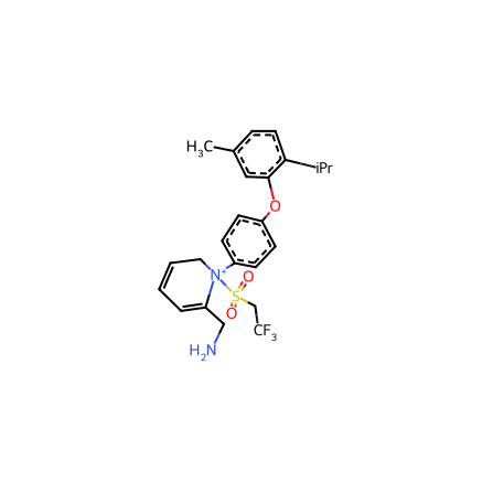 Cc1ccc(C(C)C)c(Oc2ccc([N+]3(S(=O)(=O)CC(F)(F)F)CC=CC=C3CN)cc2)c1